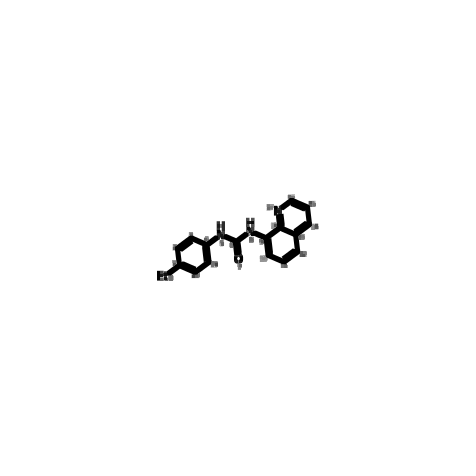 CCc1ccc(NC(=O)Nc2cccc3cccnc23)cc1